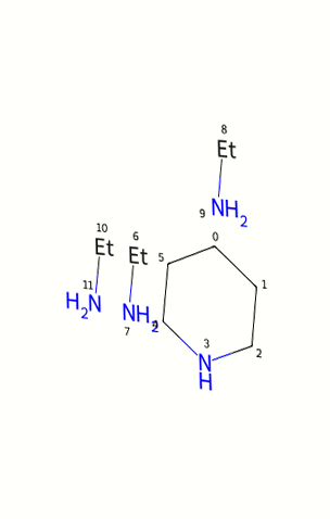 C1CCNCC1.CCN.CCN.CCN